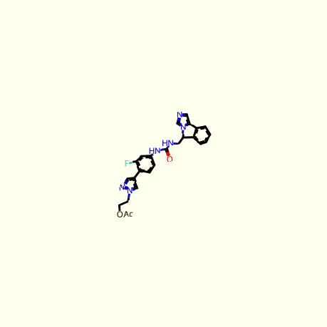 CC(=O)OCCn1cc(-c2ccc(NC(=O)NCC3c4ccccc4-c4cncn43)cc2F)cn1